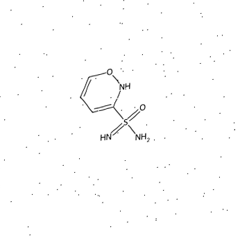 N=S(N)(=O)C1=CC=CON1